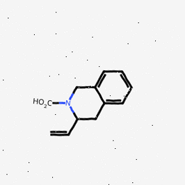 C=CC1Cc2ccccc2CN1C(=O)O